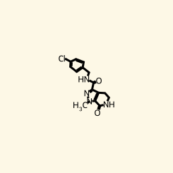 Cn1nc(C(=O)NCc2ccc(Cl)cc2)c2c1C(=O)NCC2